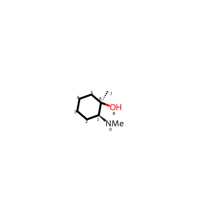 CN[C@H]1CCCC[C@@]1(C)O